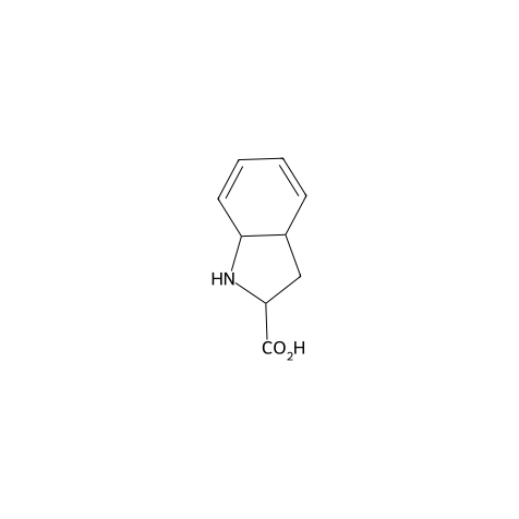 O=C(O)C1CC2C=CC=CC2N1